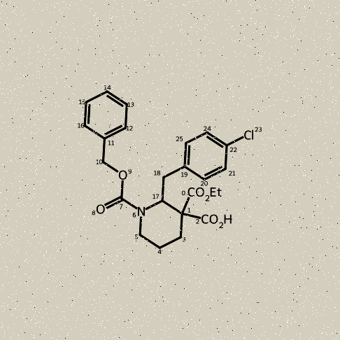 CCOC(=O)C1(C(=O)O)CCCN(C(=O)OCc2ccccc2)C1Cc1ccc(Cl)cc1